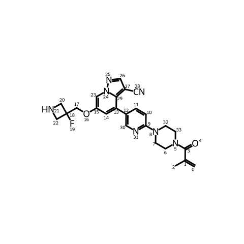 C=C(C)C(=O)N1CCN(c2ccc(-c3cc(OCC4(F)CNC4)cn4ncc(C#N)c34)cn2)CC1